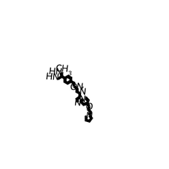 CN/C=C(\C=N)c1ccc(COc2cc(-c3cnc4cc(OCCN5CCCC5)ccn34)ncn2)cc1